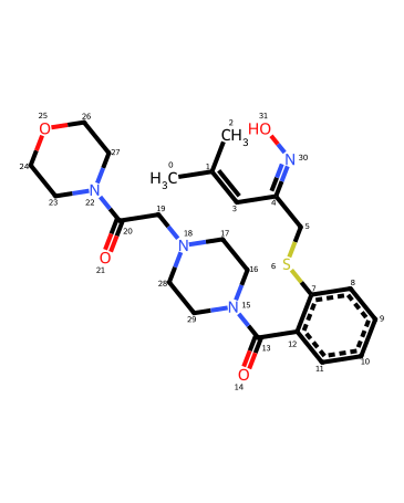 CC(C)=C/C(CSc1ccccc1C(=O)N1CCN(CC(=O)N2CCOCC2)CC1)=N\O